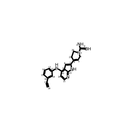 B=C(N)N1CC=C(c2cc3c(Nc4cccc(C#C)c4)ccnc3[nH]2)CC1